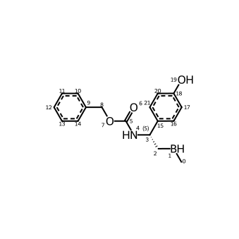 CBC[C@H](NC(=O)OCc1ccccc1)c1ccc(O)cc1